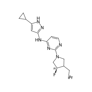 CC(C)CC1CN(c2nccc(Nc3cc(C4CC4)[nH]n3)n2)C[C@@H]1F